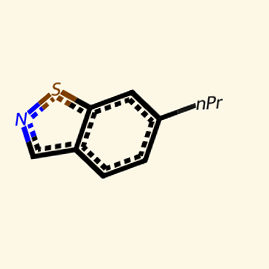 CCCc1ccc2cnsc2c1